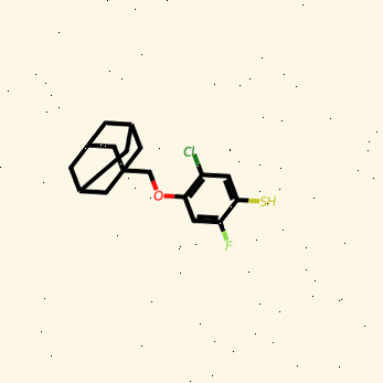 Fc1cc(OCC23CC4CC(CC(C4)C2)C3)c(Cl)cc1S